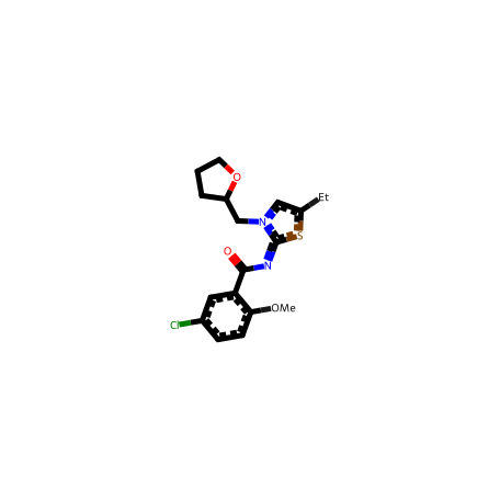 CCc1cn(CC2CCCO2)c(=NC(=O)c2cc(Cl)ccc2OC)s1